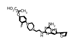 C[C@@H](Oc1ccc(N2CCN(CCNc3nc(N)n4nc(-c5ccco5)cc4n3)CC2)c(F)c1)C(=O)O